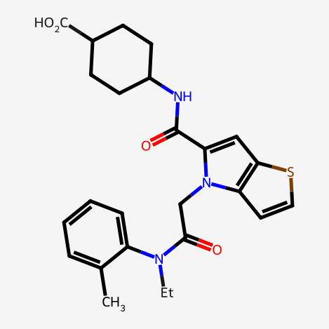 CCN(C(=O)Cn1c(C(=O)NC2CCC(C(=O)O)CC2)cc2sccc21)c1ccccc1C